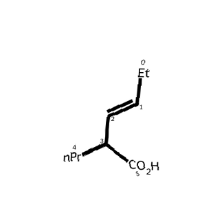 CCC=CC(CCC)C(=O)O